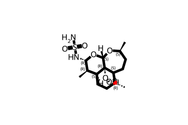 C[C@H]1[C@H](NS(N)(=O)=O)O[C@@H]2O[C@@H](C)CC[C@H]3[C@H](C)CC[C@@H]1[C@@]23OO